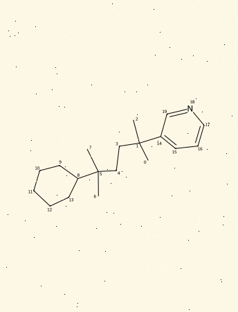 CC(C)(CCC(C)(C)C1CCCCC1)c1cccnc1